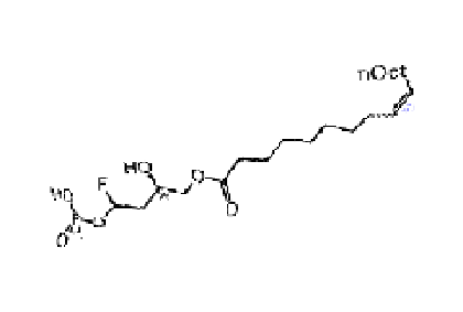 CCCCCCCC/C=C\CCCCCCCC(=O)OC[C@H](O)CC(F)O[PH](=O)O